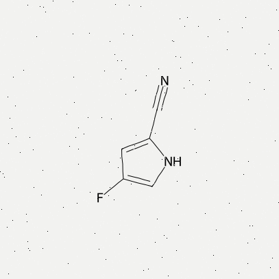 N#Cc1cc(F)c[nH]1